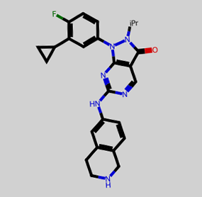 CC(C)n1c(=O)c2cnc(Nc3ccc4c(c3)CCNC4)nc2n1-c1ccc(F)c(C2CC2)c1